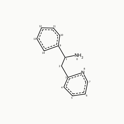 NC(Cc1ccccn1)c1ccccc1